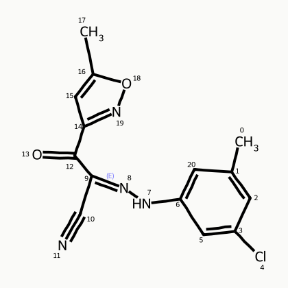 Cc1cc(Cl)cc(N/N=C(\C#N)C(=O)c2cc(C)on2)c1